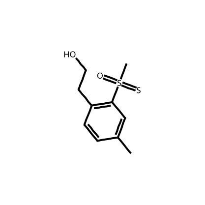 Cc1ccc(CCO)c(S(C)(=O)=S)c1